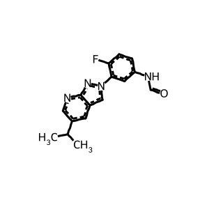 CC(C)c1cnc2nn(-c3cc(NC=O)ccc3F)cc2c1